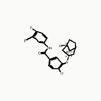 C[C@@]1(O)C2CC[C@H]1C[C@H](Sc1cc(C(=O)Nc3ccc(F)c(F)c3)ccc1Cl)C2